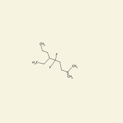 C=C(C)CCC(F)(F)C(CC)CCC